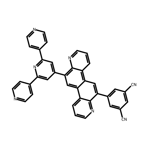 N#Cc1cc(C#N)cc(-c2cc3c4cccnc4c(-c4cc(-c5ccncc5)nc(-c5ccncc5)c4)cc3c3cccnc23)c1